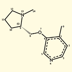 Cc1ccncc1OC[C@@H]1CCCN1C